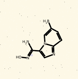 Bc1ccc2ncc(/C(N)=N/O)n2c1